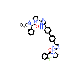 CN(C(=O)O)[C@@H](C(=O)N1CCC[C@H]1c1ncc(-c2ccc(-c3ccc(-c4cnc([C@@H]5CCCN5C(=O)c5ccccc5F)[nH]4)cc3)cc2)[nH]1)c1ccccc1